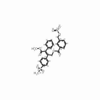 COC(=O)C(=C(COC(=O)c1cccc(CO[N+](=O)[O-])c1)c1ccc(S(C)(=O)=O)cc1)c1ccccc1